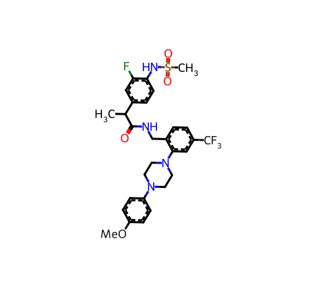 COc1ccc(N2CCN(c3cc(C(F)(F)F)ccc3CNC(=O)C(C)c3ccc(NS(C)(=O)=O)c(F)c3)CC2)cc1